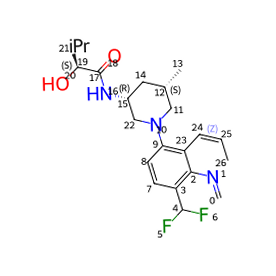 C=Nc1c(C(F)F)ccc(N2C[C@@H](C)C[C@@H](NC(=O)[C@@H](O)C(C)C)C2)c1/C=C\C